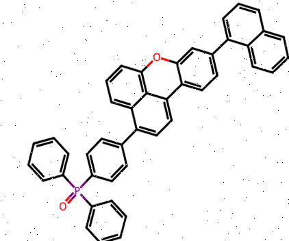 O=P(c1ccccc1)(c1ccccc1)c1ccc(-c2ccc3c4c(cccc24)Oc2cc(-c4cccc5ccccc45)ccc2-3)cc1